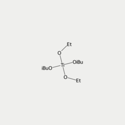 CC[O][Ti]([O]CC)([O]CC(C)C)[O]CC(C)C